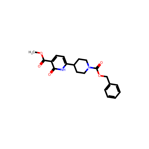 COC(=O)c1ccc(C2CCN(C(=O)OCc3ccccc3)CC2)[nH]c1=O